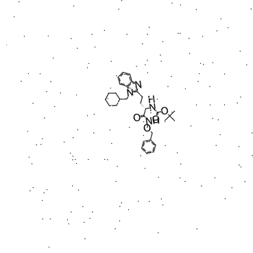 CC(C)(C)OC(=O)N[C@@H](CCc1nc2ccccc2n1CC1CCCCC1)C(=O)NOCc1ccccc1